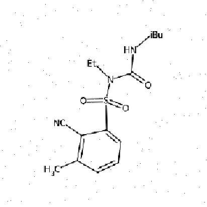 CCC(C)NC(=O)N(CC)S(=O)(=O)c1cccc(C)c1C#N